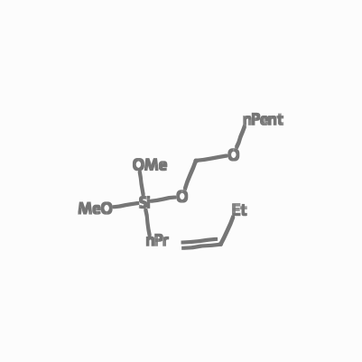 C=CCC.CCCCCOCO[Si](CCC)(OC)OC